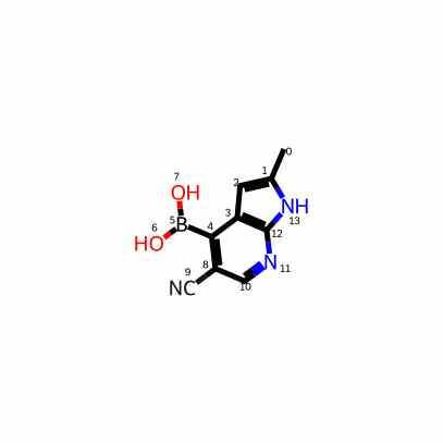 Cc1cc2c(B(O)O)c(C#N)cnc2[nH]1